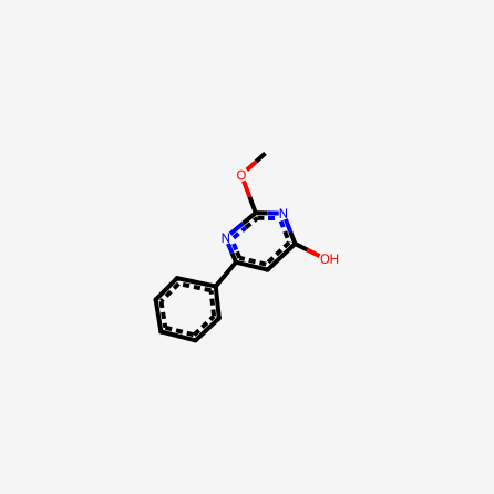 COc1nc(O)cc(-c2ccccc2)n1